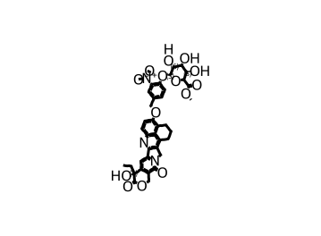 CC[C@@]1(O)C(=O)OCc2c1cc1n(c2=O)Cc2c-1nc1ccc(OCc3ccc(O[C@@H]4OC(C(=O)OC)[C@@H](O)C(O)[C@@H]4O)c([N+](=O)[O-])c3)c3c1c2CCC3